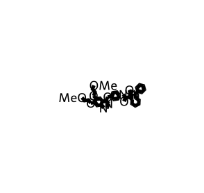 COCCOc1cc2ncnc(Oc3ccc(NC(=O)c4c5n(n(-c6ccccc6)c4=O)CCCC5)cc3)c2cc1OCCOC